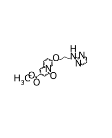 COC(=O)c1cc(=O)n2cc(OCCCNc3ncccn3)ccc2c1